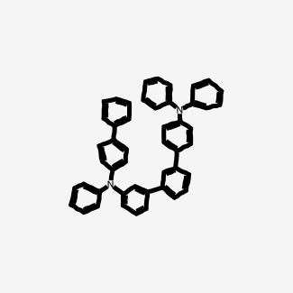 c1ccc(-c2ccc(N(c3ccccc3)c3cccc(-c4cccc(-c5ccc(N(c6ccccc6)c6ccccc6)cc5)c4)c3)cc2)cc1